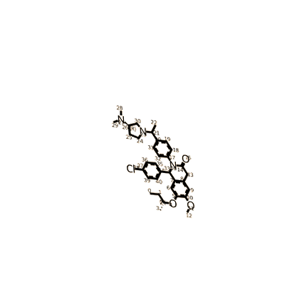 CC[C@@H](C)Oc1cc2c(cc1OC)CC(=O)N(c1ccc(C(C)N3CC[C@@H](N(C)C)C3)cc1)C2c1ccc(Cl)cc1